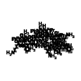 CC(C)C[C@H](NC(=O)[C@H](C)NC(=O)[C@H](CCCCN)NC(=O)[C@H](CC(C)C)NC(=O)[C@H](C)NC(=O)[C@H](CC(C)C)NC(=O)[C@H](CCCCN)NC(=O)[C@H](Cc1c[nH]c2ccccc12)NC(=O)[C@H](C)NC(=O)[C@H](CC(C)C)NC(=O)[C@@H](N)CCCCN)C(=O)N[C@@H](CCCCN)C(=O)N[C@@H](C)C(=O)N[C@@H](C)C(=O)N[C@@H](Cc1c[nH]c2ccccc12)C(=O)N[C@@H](CCCCN)C(=O)N[C@@H](CC(C)C)C(=O)N[C@@H](C)C(N)=O